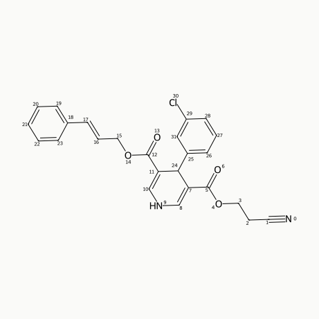 N#CCCOC(=O)C1=CNC=C(C(=O)OCC=Cc2ccccc2)C1c1cccc(Cl)c1